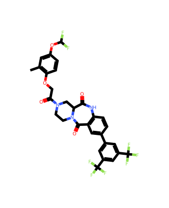 Cc1cc(OC(F)F)ccc1OCC(=O)N1CCN2C(=O)c3cc(-c4cc(C(F)(F)F)cc(C(F)(F)F)c4)ccc3NC(=O)C2C1